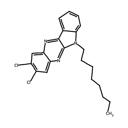 CCCCCCCCn1c2ccccc2c2nc3cc(Cl)c(Cl)cc3nc21